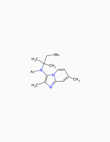 CC(=O)N(c1c(C)nc2cc(C)ccn12)C(C)(C)CC(C)(C)C